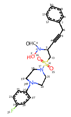 O=CN(O)C(C#CCc1ccccc1)CS(=O)(=O)N1CCN(c2ccc(F)cc2)CC1